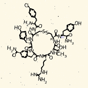 C[C@@H](O)[C@@H]1NC(=O)[C@H](CCCCNC(=N)N)NC(=O)[C@@H](Cc2ccc(C(N)=O)cc2)NC(=O)[C@H](Cc2ccc(O)cc2)NC(=O)[C@H](NC(=O)[C@@H](N)Cc2ccc(Cl)cc2)CSSC[C@@H](C(=O)/N=C(\Cc2ccc(O)cc2)C(N)=O)NC1=O